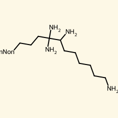 CCCCCCCCCCCCC(N)(N)C(N)CCCCCCN